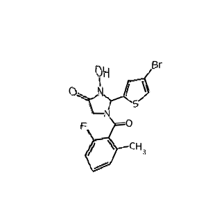 Cc1cccc(F)c1C(=O)N1CC(=O)N(O)C1c1cc(Br)cs1